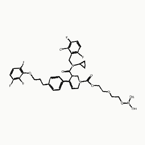 O=C(OCCOCCON(O)O)N1CC=C(c2ccc(CCCOc3c(F)ccc(F)c3F)cc2)C(C(=O)N(Cc2c(F)ccc(F)c2Cl)C2CC2)C1